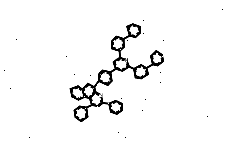 c1ccc(-c2cccc(-c3cc(-c4ccc(-c5cc6ccccc6c6c(-c7ccccc7)cc(-c7ccccc7)nc56)cc4)cc(-c4cccc(-c5ccccc5)c4)n3)c2)cc1